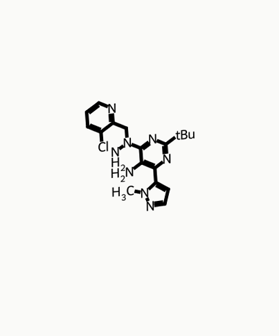 Cn1nccc1-c1nc(C(C)(C)C)nc(N(N)Cc2ncccc2Cl)c1N